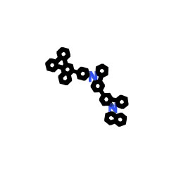 c1ccc2c(-n3c4ccccc4c4cc(-c5ccc6c(c5)c5ccccc5n6-c5ccc(-c6cc7c8ccccc8c8ccccc8c7c7ccccc67)cc5)ccc43)cccc2c1